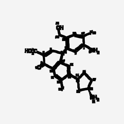 Nc1cc(-n2cc(C(=O)O)c(=O)c3cc(F)c(N4CC[C@H](N)C4)cc32)c(CO)cc1F